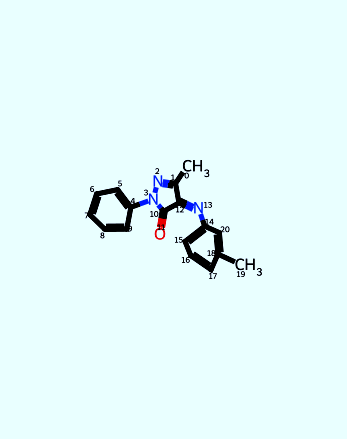 CC1=NN(c2ccccc2)C(=O)C1=Nc1cccc(C)c1